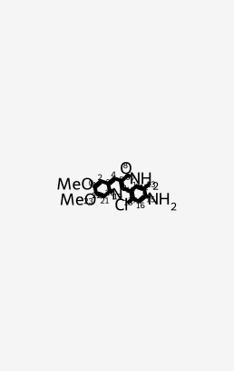 COc1cc2cc(C(N)=O)c(-c3cc(C)c(N)cc3Cl)nc2cc1OC